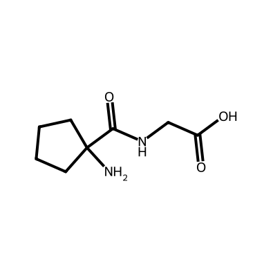 NC1(C(=O)NCC(=O)O)CCCC1